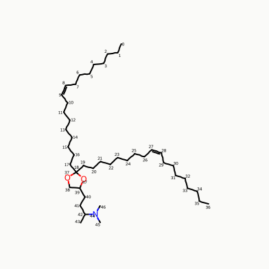 CCCCCCCC/C=C\CCCCCCCCC1(CCCCCCCC/C=C\CCCCCCCC)OCC(CCC(C)N(C)C)O1